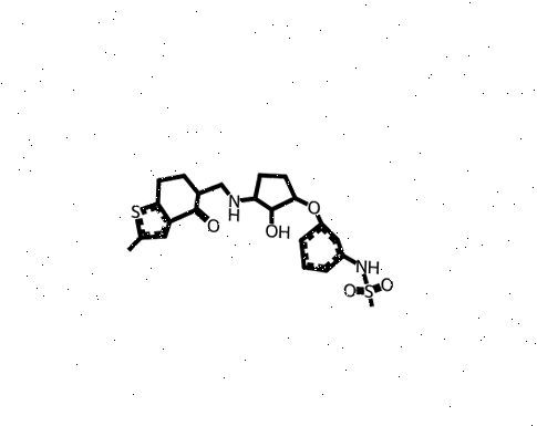 Cc1cc2c(s1)CCC(CNC1CCC(Oc3cccc(NS(C)(=O)=O)c3)C1O)C2=O